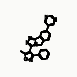 Cc1onc(-c2ccccc2)c1-c1nnc2n1Cc1ccc(-c3cncnc3)cc1-2